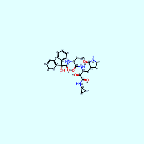 CC(C)CC(NC(=O)C(O)(c1ccccc1)c1ccccc1)C(=O)NC(CC1CCNC1=O)C(=O)C(=O)NC1CC1